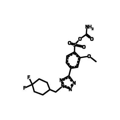 COc1cc(-c2nnn(CC3CCC(F)(F)CC3)n2)ccc1S(=O)(=O)OC(N)=O